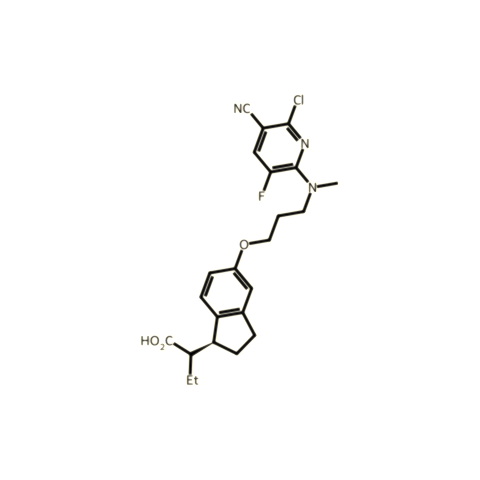 CCC(C(=O)O)[C@@H]1CCc2cc(OCCCN(C)c3nc(Cl)c(C#N)cc3F)ccc21